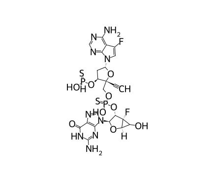 C#C[C@]1(COP(O)(=S)O[C@H]2[C@H](n3cnc4c(=O)[nH]c(N)nc43)O[C@@H]3C(O)[C@@]32F)O[C@@H](n2cc(F)c3c(N)ncnc32)C[C@@H]1O[PH](O)=S